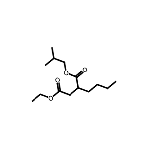 CCCCC(CC(=O)OCC)C(=O)OCC(C)C